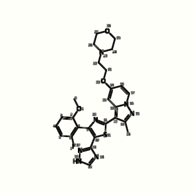 COc1cccc(F)c1-c1nc(-c2c(C)nn3ccc(OCCN4CCOCC4)cc23)sc1-c1nc[nH]n1